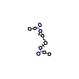 CC(C)(c1cccc(/C=C/c2ccc3c(c2)C(C)(C)c2cc(N(c4ccccc4)c4ccc(-c5ccccc5)cc4)ccc2-3)c1)c1cccc(N(c2ccccc2)c2ccc(-c3ccccc3)cc2)c1